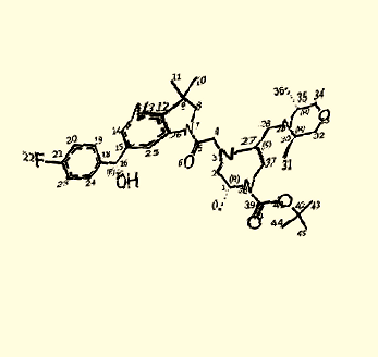 C[C@@H]1CN(CC(=O)N2CC(C)(C)c3ncc([C@H](O)c4ccc(F)cc4)cc32)[C@@H](CN2[C@H](C)COC[C@H]2C)CN1C(=O)OC(C)(C)C